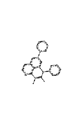 CC1=C(C)C(c2ccccc2)c2cc(-c3ccccc3)cc3ccnc1c23